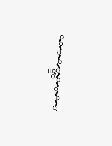 COCCOCCOCCOCCOCCOCCOCCOC=O.O=CO